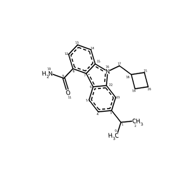 CC(C)c1c[c]c2c3c(C(N)=O)cccc3n(CC3CCC3)c2c1